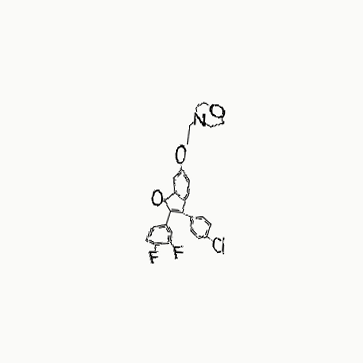 O=C1C(c2ccc(F)c(F)c2)=C(c2ccc(Cl)cc2)c2ccc(OCCN3CCOCC3)cc21